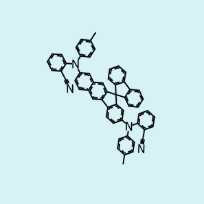 Cc1ccc(N(c2ccc3c(c2)C2(c4ccccc4-c4ccccc42)c2cc4cc(N(c5ccc(C)cc5)c5ccccc5C#N)ccc4cc2-3)c2ccccc2C#N)cc1